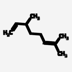 C=CC(C)CC[C]=C(C)C